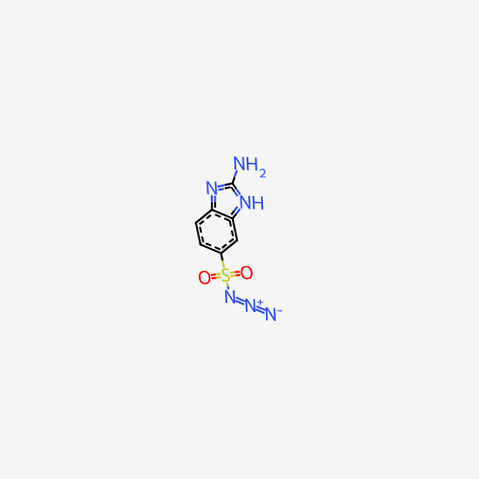 [N-]=[N+]=NS(=O)(=O)c1ccc2nc(N)[nH]c2c1